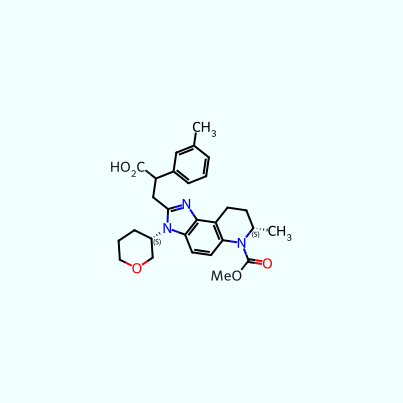 COC(=O)N1c2ccc3c(nc(CC(C(=O)O)c4cccc(C)c4)n3[C@H]3CCCOC3)c2CC[C@@H]1C